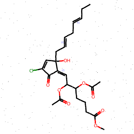 CC/C=C/C/C=C/CC1(O)C=C(Cl)C(=O)/C1=C\C(OC(C)=O)C(CCCC(=O)OC)OC(C)=O